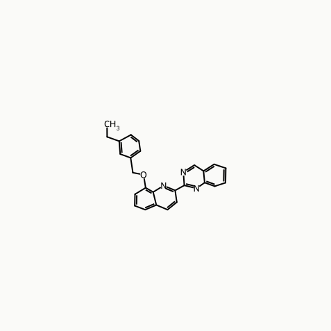 CCc1cccc(COc2cccc3ccc(-c4ncc5ccccc5n4)nc23)c1